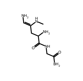 BC(=O)CNC(=O)C(N)C/C(=C/N)NC